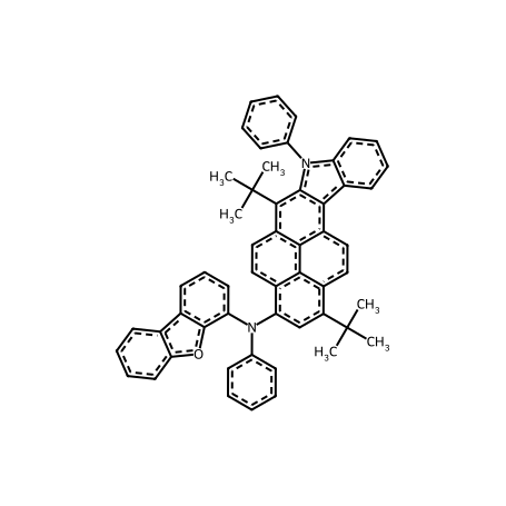 CC(C)(C)c1cc(N(c2ccccc2)c2cccc3c2oc2ccccc23)c2ccc3c(C(C)(C)C)c4c(c5ccc1c2c35)c1ccccc1n4-c1ccccc1